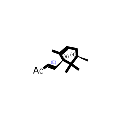 CC(=O)/C=C/[C@H]1C(C)=CC[C@@H](C)C1(C)C